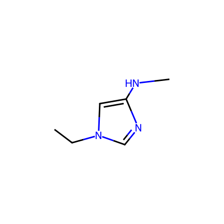 CCn1cnc(NC)c1